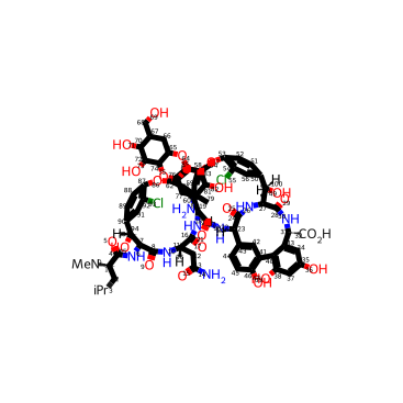 CN[C@H](CC(C)C)C(=O)NC1C(=O)N[C@@H](CC(N)=O)C(=O)N[C@H]2C(=O)N[C@H]3C(=O)N[C@H](C(=O)N[C@H](C(=O)O)c4cc(O)cc(O)c4-c4cc3ccc4O)[C@H](O)c3ccc(c(Cl)c3)Oc3cc2cc(c3OC2CC(CO)C(O)C(O)C2OC2CC(C)(N)C(O)C(C)O2)Oc2ccc(cc2Cl)[C@H]1O